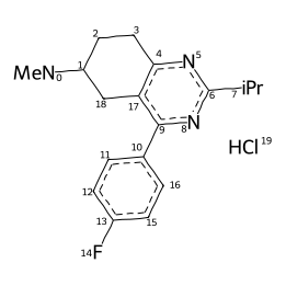 CNC1CCc2nc(C(C)C)nc(-c3ccc(F)cc3)c2C1.Cl